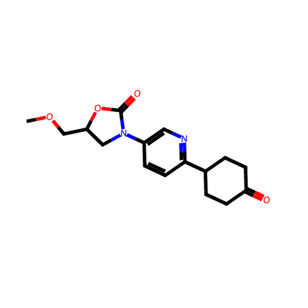 COCC1CN(c2ccc(C3CCC(=O)CC3)nc2)C(=O)O1